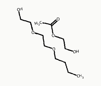 CC(=O)OCCO.CCCCOCCOCCO